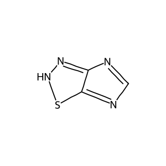 c1nc2n[nH]sc-2n1